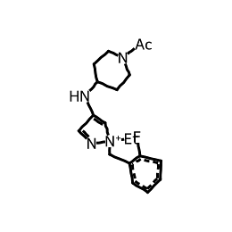 CC[N+]1(Cc2ccccc2F)C=C(NC2CCN(C(C)=O)CC2)C=N1